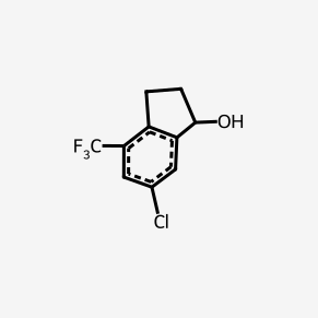 OC1CCc2c1cc(Cl)cc2C(F)(F)F